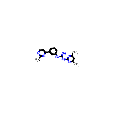 Cc1cc(C)nc(NC(=N)Nc2cccc(-c3ccnc(C)n3)c2)n1